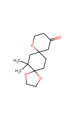 CC1(C)CC2(CCC13OCCO3)CC(=O)CCO2